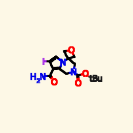 CC(C)(C)OC(=O)N1Cc2c(C(N)=O)c(I)cn2C2(COC2)C1